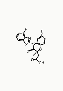 CC1(CC(=O)O)Oc2ccc(F)cc2N(c2nc3c(F)cccc3s2)C1=O